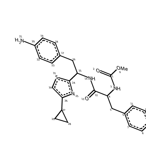 COC(=O)NC(Cc1ccccc1)C(=O)NC(Cc1ccc(N)cc1)c1nc(C2CC2)cs1